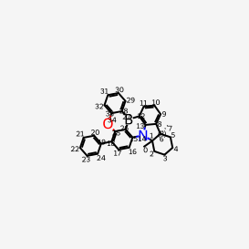 CC12CCCC[C@]1(C)c1cccc3c1N2c1ccc(-c2ccccc2)c2c1B3c1ccccc1O2